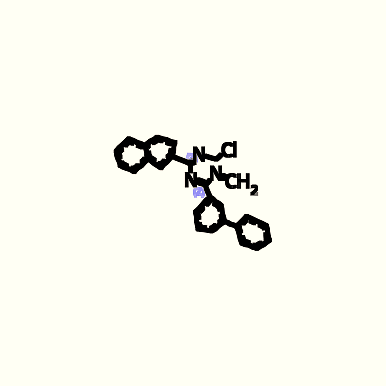 C=N/C(=N\C(=N/CCl)c1ccc2ccccc2c1)c1cccc(-c2ccccc2)c1